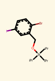 CC(C)[Si](OCc1cc(I)ccc1Br)(C(C)C)C(C)C